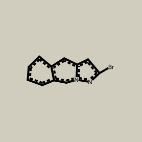 Brc1cc2cc3ccccc3cn2n1